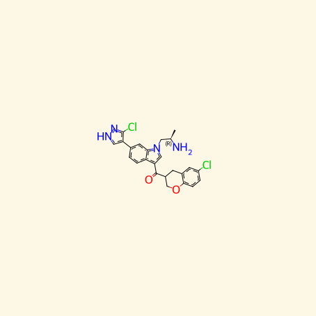 C[C@@H](N)Cn1cc(C(=O)C2COc3ccc(Cl)cc3C2)c2ccc(-c3c[nH]nc3Cl)cc21